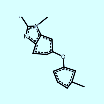 [CH]c1nc2ccc(Oc3cccc(C)c3)cc2n1C